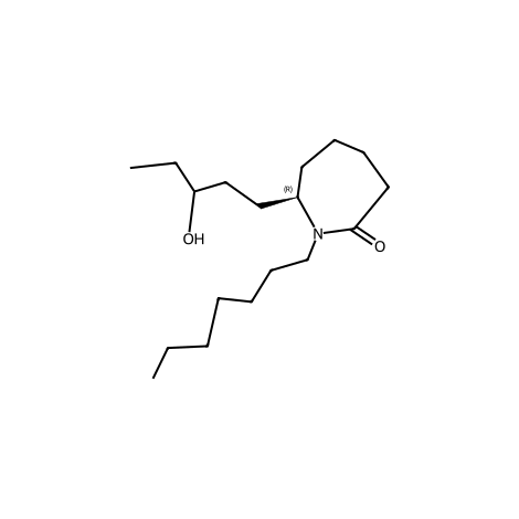 CCCCCCCN1C(=O)CCCC[C@@H]1CCC(O)CC